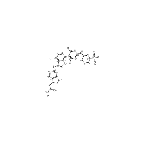 COC(=O)CC1COc2cc(O[C@@H]3CCc4c(-c5c(C)cc(OC6CCCN(S(C)(=O)=O)C6)cc5C)ccc(F)c43)ccc21